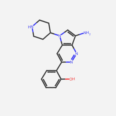 Nc1cn(C2CCNCC2)c2cc(-c3ccccc3O)nnc12